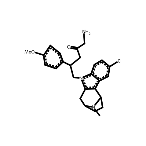 COc1ccc(C(CC(=O)CN)Cn2c3c(c4cc(Cl)ccc42)C2CCC(C3)N2C)cc1